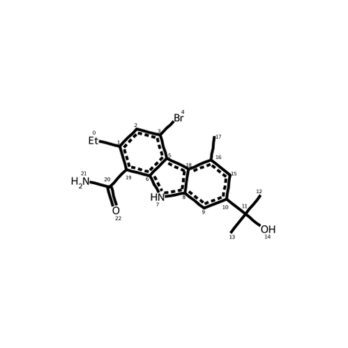 CCc1cc(Br)c2c([nH]c3cc(C(C)(C)O)cc(C)c32)c1C(N)=O